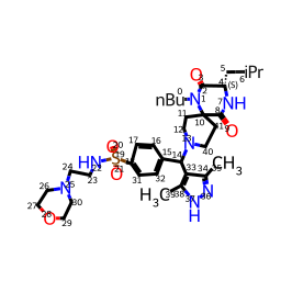 CCCCN1C(=O)[C@H](CC(C)C)NC(=O)C12CCN(C(c1ccc(S(=O)(=O)NCCN3CCOCC3)cc1)c1c(C)n[nH]c1C)CC2